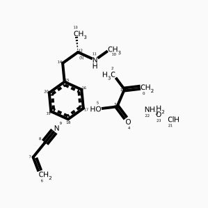 C=C(C)C(=O)O.C=CC#N.CN[C@@H](C)Cc1ccccc1.Cl.N.O